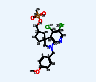 COc1ccc(CN2CC3(CCC(COS(C)(=O)=O)C3)c3c2ncc(Br)c3Cl)cc1